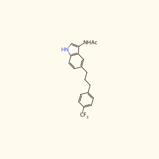 CC(=O)Nc1c[nH]c2ccc(CCCc3ccc(C(F)(F)F)cc3)cc12